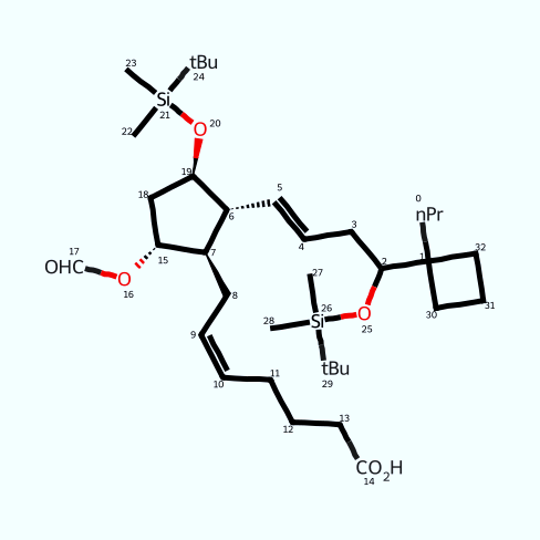 CCCC1(C(C/C=C/[C@@H]2[C@@H](C/C=C\CCCC(=O)O)[C@H](OC=O)C[C@H]2O[Si](C)(C)C(C)(C)C)O[Si](C)(C)C(C)(C)C)CCC1